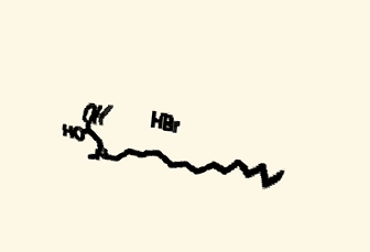 Br.CCCCCCCCCCCCCCN(C)CC(O)O